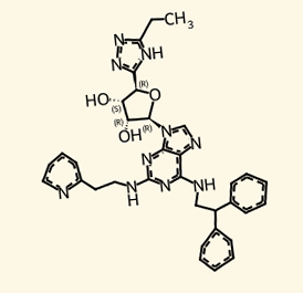 CCc1nnc([C@H]2O[C@@H](n3cnc4c(NCC(c5ccccc5)c5ccccc5)nc(NCCc5ccccn5)nc43)[C@H](O)[C@@H]2O)[nH]1